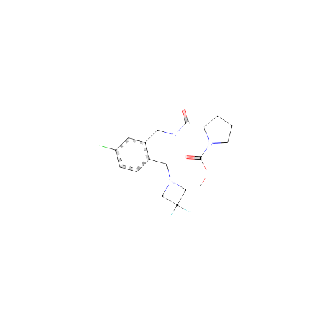 CC(C)(C)OC(=O)N1CCC[C@H]1C(=O)NCc1cc(Cl)ccc1CN1CC(F)(F)C1